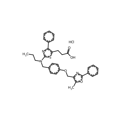 CCCN(Cc1ccc(OCc2nc(-c3ccccc3)oc2C)cc1)c1nc(-c2ccccc2)c(CCC(=O)O)s1.Cl